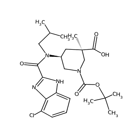 CC(C)CN(C(=O)c1nc2c(Cl)cccc2[nH]1)[C@@H]1CN(C(=O)OC(C)(C)C)C[C@](C)(C(=O)O)C1